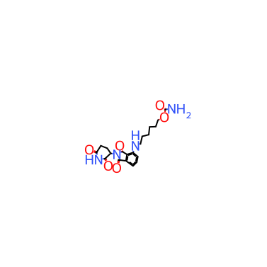 NC(=O)OCCCCCCNc1cccc2c1C(=O)N(C1CCC(=O)NC1=O)C2=O